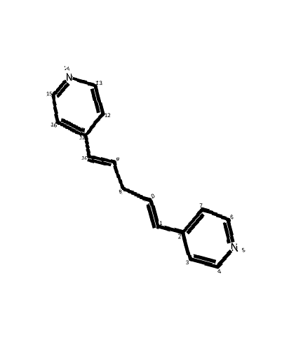 C(=Cc1ccncc1)CC=Cc1ccncc1